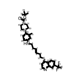 Cc1cc(NCCC=CCCSc2ccnc3cc(C(F)(F)F)ccc23)ccc1N1CCN(C(=O)OC(C)(C)C)CC1